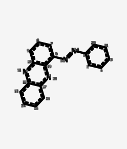 c1ccc(N=Nc2cccc3nc4ccccc4nc23)cc1